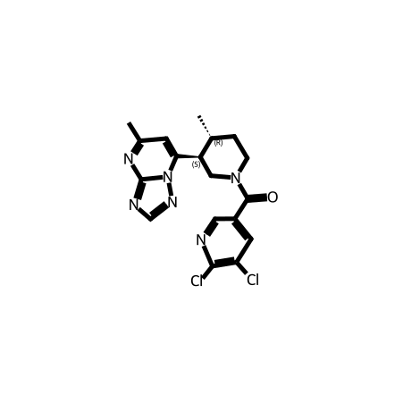 Cc1cc([C@@H]2CN(C(=O)c3cnc(Cl)c(Cl)c3)CC[C@H]2C)n2ncnc2n1